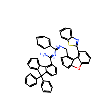 N/C(=N\C(=N/Cc1cccc2oc3cccc(-c4nc5ccccc5s4)c3c12)c1ccccc1)c1cccc2c1-c1ccccc1C2(c1ccccc1)c1ccccc1